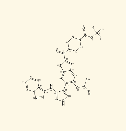 CC(C)(C)OC(=O)N1CCN(C(=O)c2cc3cc(OC(F)F)c(-c4n[nH]cc4Nc4cnn5cccnc45)cc3s2)CC1